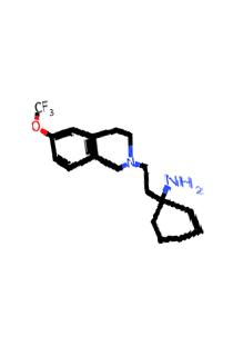 NC1(CCN2CCc3cc(OC(F)(F)F)ccc3C2)CCCCC1